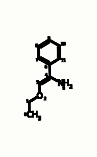 CCO/C=C(\N)c1ccccc1